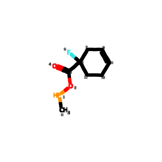 CPOC(=O)C1(F)CC=CCC1